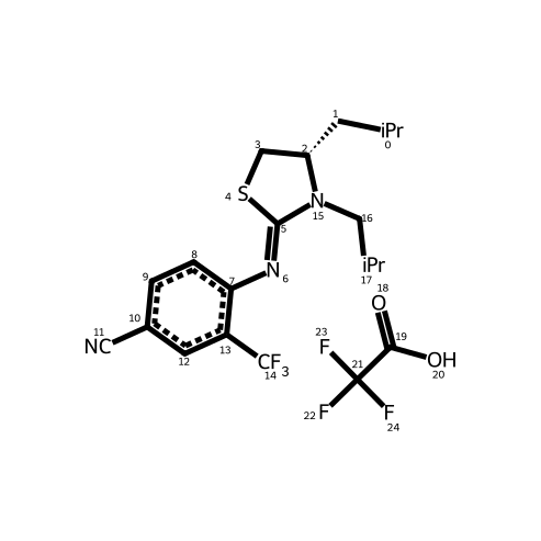 CC(C)C[C@H]1CS/C(=N\c2ccc(C#N)cc2C(F)(F)F)N1CC(C)C.O=C(O)C(F)(F)F